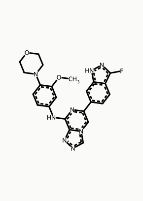 COc1cc(Nc2nc(-c3ccc4c(F)n[nH]c4c3)cn3cnnc23)ccc1N1CCOCC1